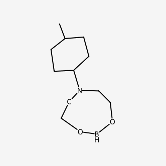 CC1CCC(N2CCOBOCC2)CC1